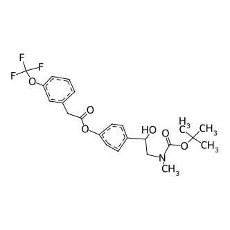 CN(CC(O)c1ccc(OC(=O)Cc2cccc(OC(F)(F)F)c2)cc1)C(=O)OC(C)(C)C